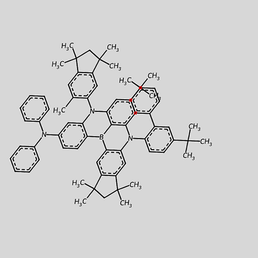 Cc1cc2c(cc1N1c3cc(N(c4ccccc4)c4ccccc4)ccc3B3c4cc5c(cc4N(c4ccc(C(C)(C)C)cc4-c4ccccc4)c4cc(C(C)(C)C)cc1c43)C(C)(C)CC5(C)C)C(C)(C)CC2(C)C